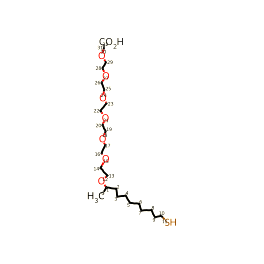 CC(CCCCCCCCCS)OCCOCCOCCOCCOCCOCCOCC(=O)O